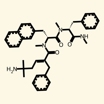 CNC(=O)[C@@H](Cc1ccccc1)N(C)C(=O)[C@@H](Cc1ccc2ccccc2c1)N(C)C(=O)C(=CCC(C)(C)N)Cc1ccccc1